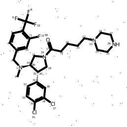 CN(Cc1ccc(C(F)(F)F)c(F)c1)[C@H]1CN(C(=O)CCCCN2CCNCC2)C[C@@H]1c1ccc(Cl)c(Cl)c1